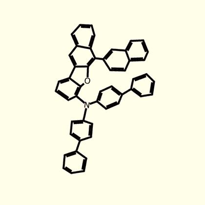 c1ccc(-c2ccc(N(c3ccc(-c4ccccc4)cc3)c3cccc4c3oc3c(-c5ccc6ccccc6c5)c5ccccc5cc34)cc2)cc1